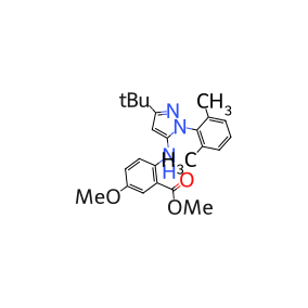 COC(=O)c1cc(OC)ccc1Nc1cc(C(C)(C)C)nn1-c1c(C)cccc1C